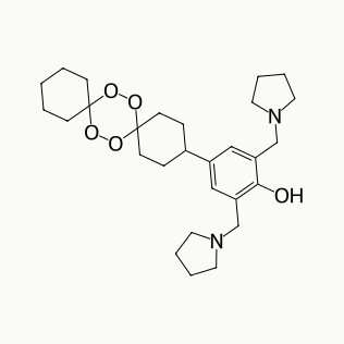 Oc1c(CN2CCCC2)cc(C2CCC3(CC2)OOC2(CCCCC2)OO3)cc1CN1CCCC1